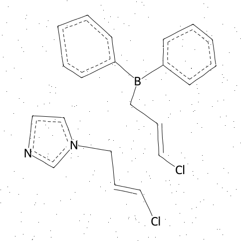 ClC=CCB(c1ccccc1)c1ccccc1.ClC=CCn1ccnc1